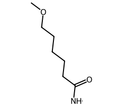 COCCCCCC([NH])=O